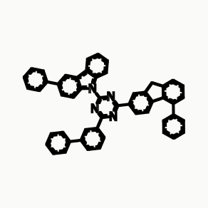 c1ccc(-c2cccc(-c3nc(-c4ccc5c(c4)Cc4cccc(-c6ccccc6)c4-5)nc(-n4c5ccccc5c5cc(-c6ccccc6)ccc54)n3)c2)cc1